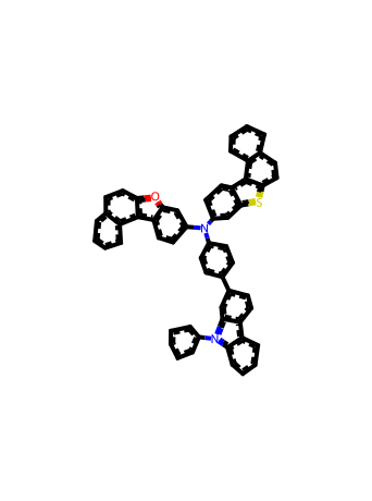 c1ccc(-n2c3ccccc3c3ccc(-c4ccc(N(c5ccc6c(c5)oc5ccc7ccccc7c56)c5ccc6c(c5)sc5ccc7ccccc7c56)cc4)cc32)cc1